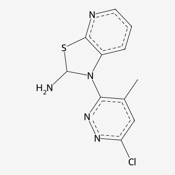 Cc1cc(Cl)nnc1N1c2cccnc2SC1N